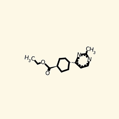 CCOC(=O)[C@H]1CC[C@H](c2ccnc(C)n2)CC1